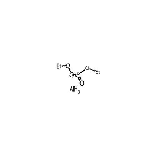 CCOO[PH](=O)OCC.[AlH3]